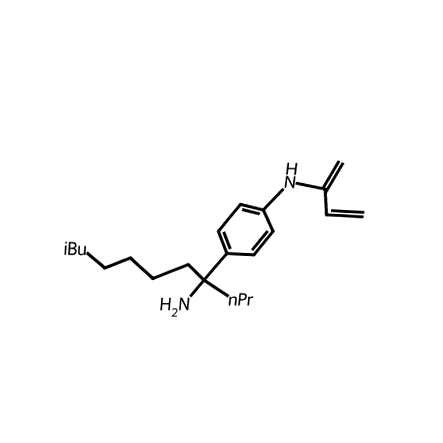 C=CC(=C)Nc1ccc(C(N)(CCC)CCCCC(C)CC)cc1